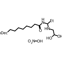 CCCCCCCCCCCCCCCCCC(=O)NC(CC)NCC(O)O.O=[N+]([O-])O